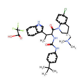 CC(c1c[nH]c2ccccc12)C(NC(=O)Nc1ccc(C(C)(C)C)cc1)C(=O)N1C[C@@H](CN(C)C)Cc2cc(Cl)ccc21.O=C(O)C(F)(F)F